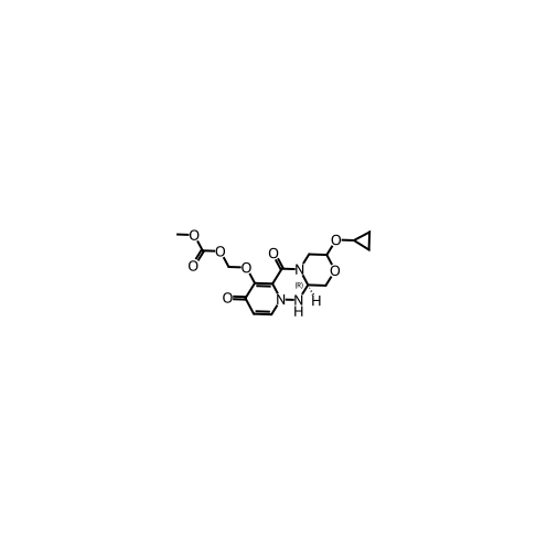 COC(=O)OCOc1c2n(ccc1=O)N[C@@H]1COC(OC3CC3)CN1C2=O